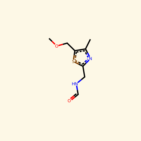 COCc1sc(CNC=O)nc1C